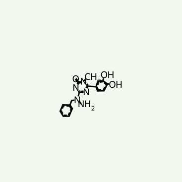 Cn1c(-c2ccc(O)c(O)c2)nc(N(N)Cc2ccccc2)nc1=O